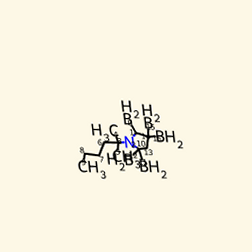 BC1N(C(C)(C)CCCC)C(B)(B)CC1(B)B